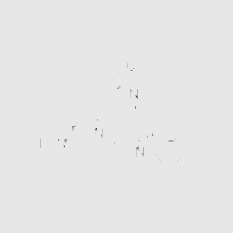 NC(=O)CN1CCC(CN2CCOCC2)C(c2nc3ccccc3s2)C1